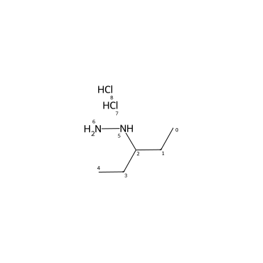 CCC(CC)NN.Cl.Cl